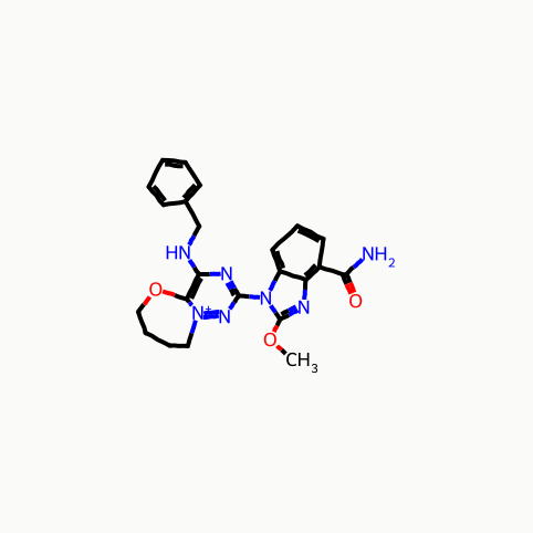 COc1nc2c(C(N)=O)cccc2n1-c1nc(NCc2ccccc2)c2[n+](n1)CCCCO2